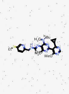 CCSc1ccc(CN/C(C=O)=N/c2c(C)nc(-c3c(OC)ncnc3C3CC3)nc2N(C)[C@H](C)CC)nc1